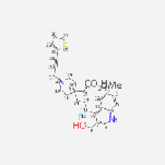 COc1ccc2ncc(CO)c([C@H](F)CCC3(CC(=O)O)CCN(CC#Cc4cccs4)CC3)c2c1